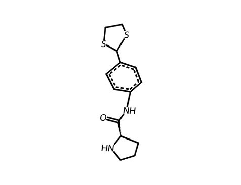 O=C(Nc1ccc(C2SCCS2)cc1)[C@H]1CCCN1